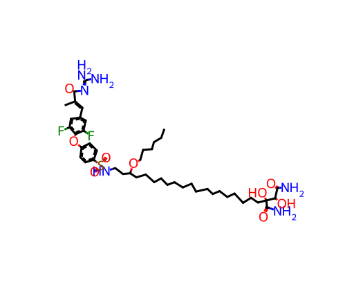 CCCCCCOC(CCCCCCCCCCCCCCCCCC(O)(C(N)=O)C(O)C(N)=O)CCNS(=O)(=O)c1ccc(Oc2c(F)cc(/C=C(\C)C(=O)N=C(N)N)cc2F)cc1